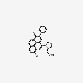 COCC1CCCN1C(=O)c1cc(-c2ccccc2)c(=O)n2ccc3ccc(Cl)cc3c12